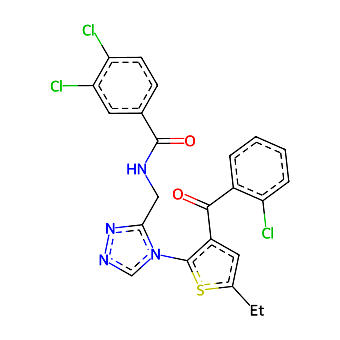 CCc1cc(C(=O)c2ccccc2Cl)c(-n2cnnc2CNC(=O)c2ccc(Cl)c(Cl)c2)s1